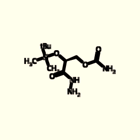 CC(C)(C)[Si](C)(C)O[C@@H](COC(N)=O)C(=O)NN